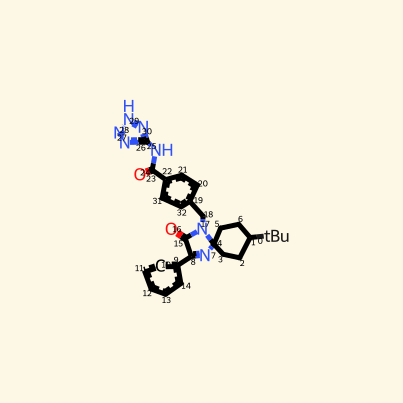 CC(C)(C)C1CCC2(CC1)N=C(c1ccccc1)C(=O)N2Cc1ccc(C(=O)Nc2nn[nH]n2)cc1